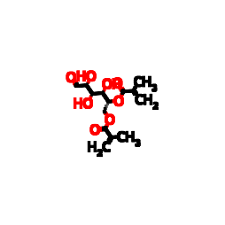 C=C(C)C(=O)OC[C@@H](OC(=O)C(=C)C)[C@@H](O)[C@H](O)[C@@H](O)C=O